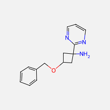 NC1(c2ncccn2)CC(OCc2ccccc2)C1